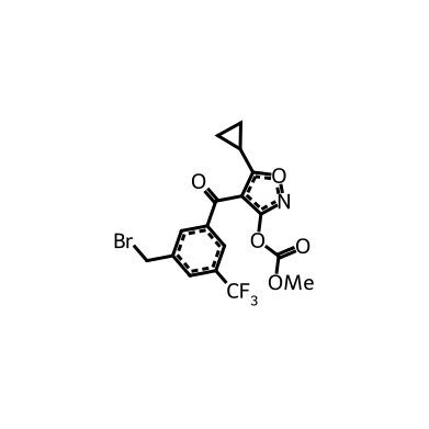 COC(=O)Oc1noc(C2CC2)c1C(=O)c1cc(CBr)cc(C(F)(F)F)c1